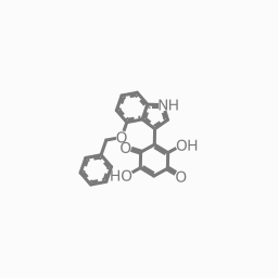 O=C1C=C(O)C(=O)C(c2c[nH]c3cccc(OCc4ccccc4)c23)=C1O